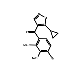 CSc1c(Br)ccc(C(=O)c2cnoc2C2CC2)c1SC